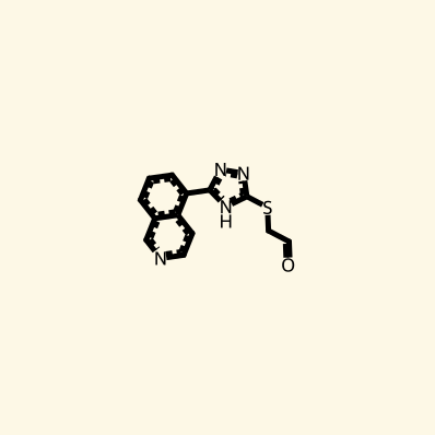 O=CCSc1nnc(-c2cccc3cnccc23)[nH]1